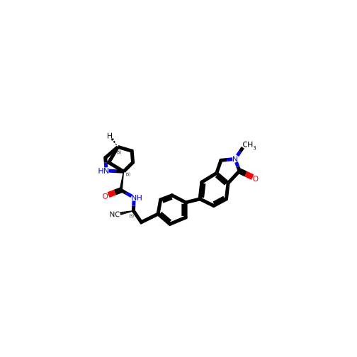 CN1Cc2cc(-c3ccc(C[C@@H](C#N)NC(=O)[C@@]45CC[C@H](CN4)C5)cc3)ccc2C1=O